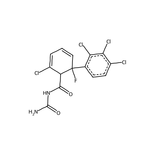 NC(=O)NC(=O)C1C(Cl)=CC=CC1(F)c1ccc(Cl)c(Cl)c1Cl